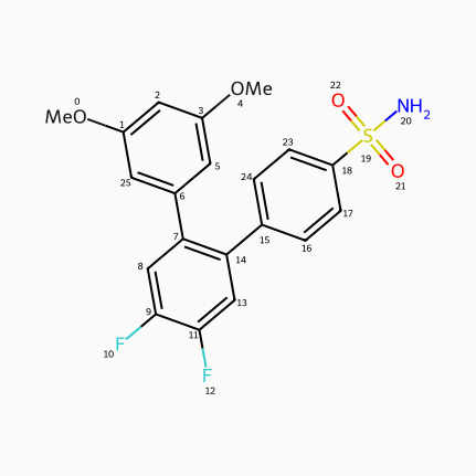 COc1cc(OC)cc(-c2cc(F)c(F)cc2-c2ccc(S(N)(=O)=O)cc2)c1